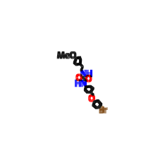 COc1ccc(CCNC(=O)C(=O)Nc2ccc(COc3ccc(Br)cc3)cc2)cc1